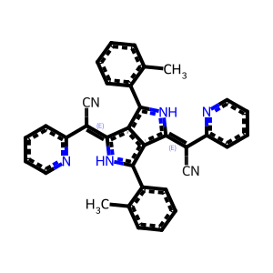 Cc1ccccc1-c1[nH]/c(=C(/C#N)c2ccccn2)c2c(-c3ccccc3C)[nH]/c(=C(/C#N)c3ccccn3)c12